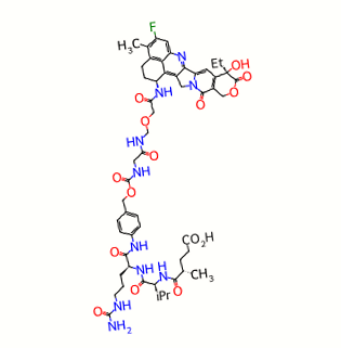 CC[C@@]1(O)C(=O)OCc2c1cc1n(c2=O)Cc2c-1nc1cc(F)c(C)c3c1c2[C@@H](NC(=O)COCNC(=O)CNC(=O)OCc1ccc(NC(=O)[C@H](CCCNC(N)=O)NC(=O)[C@@H](NC(=O)[C@@H](C)CCC(=O)O)C(C)C)cc1)CC3